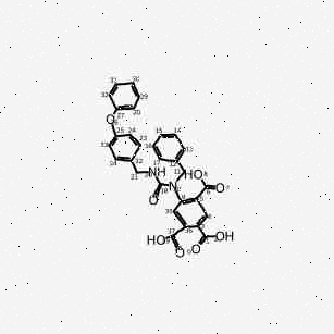 O=C(O)c1cc(C(=O)O)c(N(Cc2ccccc2)C(=O)NCc2ccc(Oc3ccccc3)cc2)cc1C(=O)O